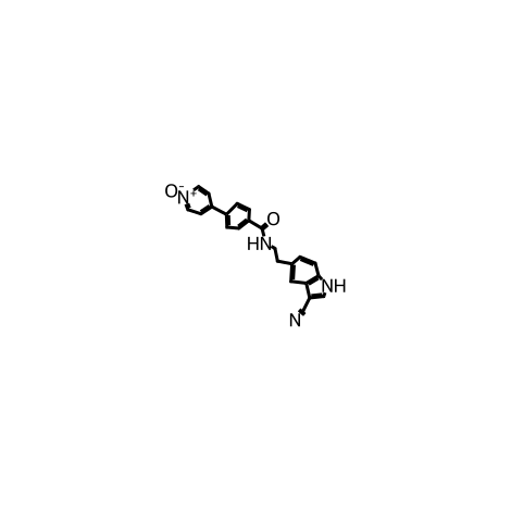 N#Cc1c[nH]c2ccc(CCNC(=O)c3ccc(-c4cc[n+]([O-])cc4)cc3)cc12